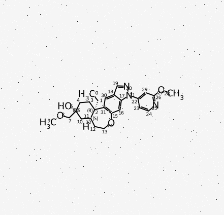 CC[C@@]12CC[C@](O)(COC)C[C@@H]1CCOc1cc3c(cnn3-c3ccnc(OC)c3)cc12